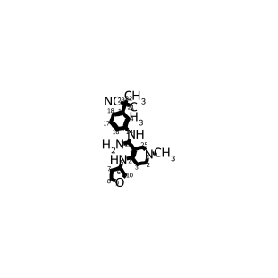 CN1CCC(NC2CCOC2)=C(C(N)Nc2cccc(C(C)(C)C#N)c2)C1